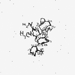 CN1C(=O)[C@]2(N=C1N)c1cc(-c3cccnc3F)ccc1O[C@@H]1CCOC[C@H]12